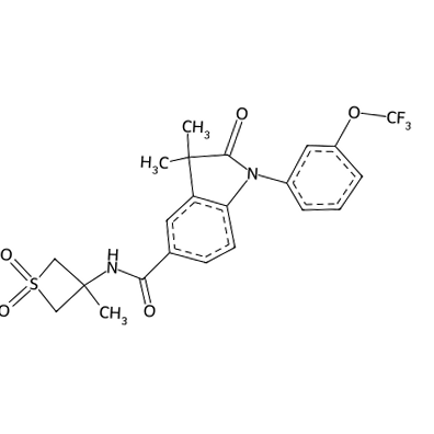 CC1(NC(=O)c2ccc3c(c2)C(C)(C)C(=O)N3c2cccc(OC(F)(F)F)c2)CS(=O)(=O)C1